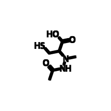 CC(=O)NN(C)C(CS)C(=O)O